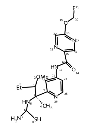 CCC(OC)[C@](C)(NC(N)S)c1cc(NC(=O)c2cnc(OCF)cn2)ccn1